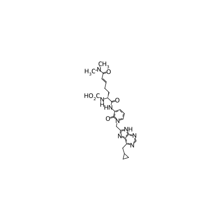 CN(C)C(=O)/C=C/CC[C@H](NC(=O)O)C(=O)Nc1cccn(Cc2nc3c(CC4CC4)ncnc3[nH]2)c1=O